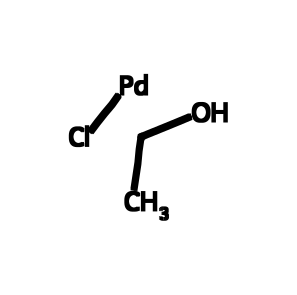 CCO.[Cl][Pd]